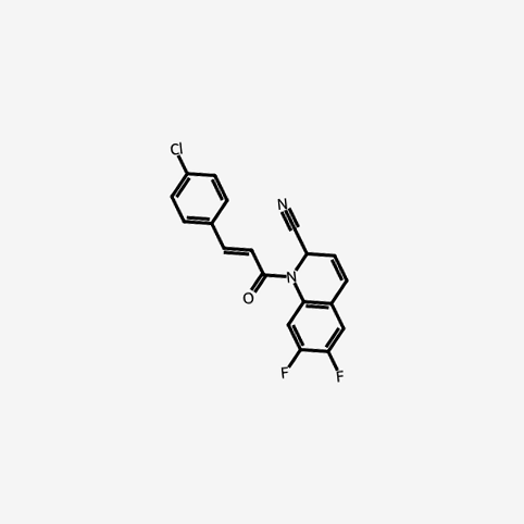 N#CC1C=Cc2cc(F)c(F)cc2N1C(=O)/C=C/c1ccc(Cl)cc1